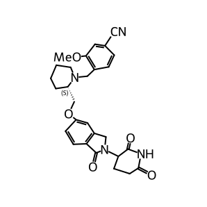 COc1cc(C#N)ccc1CN1CCCC[C@H]1COc1ccc2c(c1)CN(C1CCC(=O)NC1=O)C2=O